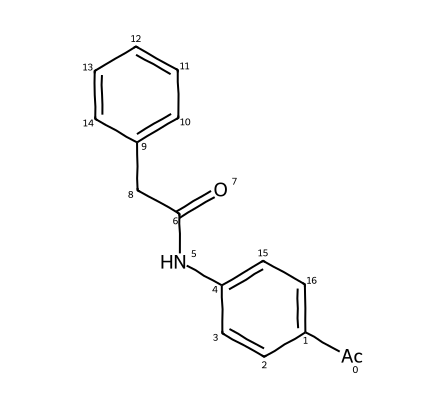 CC(=O)c1ccc(NC(=O)Cc2ccccc2)cc1